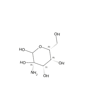 N[C@]1(O)C(O)O[C@H](CO)[C@H](O)[C@@H]1O